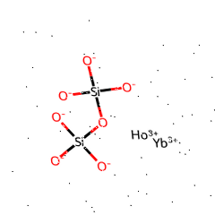 [Ho+3].[O-][Si]([O-])([O-])O[Si]([O-])([O-])[O-].[Yb+3]